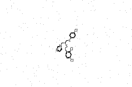 Clc1ccc(SCC(Cn2ccnc2)SCc2ccc(Cl)cc2Cl)cc1